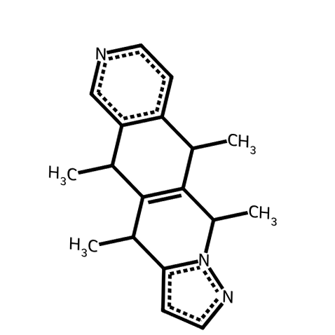 CC1C2=C(C(C)c3ccncc31)C(C)n1nccc1C2C